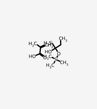 C=C(C)C(=O)O.CCC(O)([SiH3])O[Si](C)(C)C